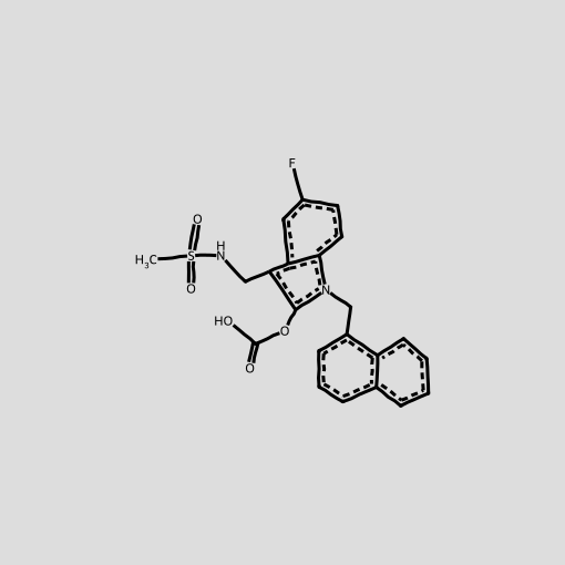 CS(=O)(=O)NCc1c(OC(=O)O)n(Cc2cccc3ccccc23)c2ccc(F)cc12